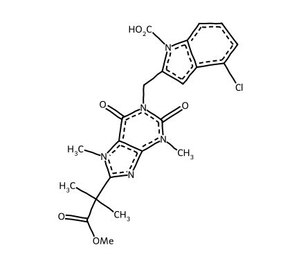 COC(=O)C(C)(C)c1nc2c(c(=O)n(Cc3cc4c(Cl)cccc4n3C(=O)O)c(=O)n2C)n1C